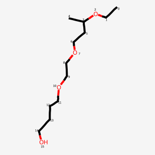 CCOC(C)CCOCCOCCCCO